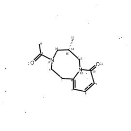 CC(=O)N1CCc2cccc(=O)n2C[C@@H](C)C1